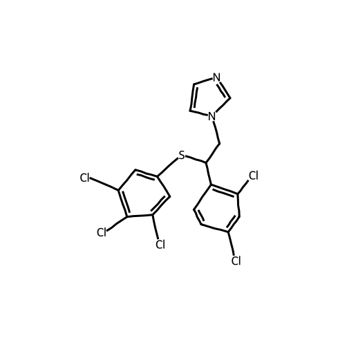 Clc1ccc(C(Cn2ccnc2)Sc2cc(Cl)c(Cl)c(Cl)c2)c(Cl)c1